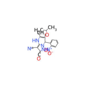 CC1=C(OC(C)C)C(c2ccccc2[N+](=O)[O-])N2NC(=C=O)C(C#N)=C2N1